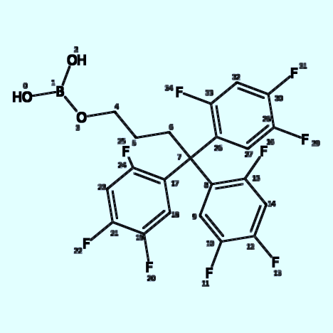 OB(O)OCCCC(c1cc(F)c(F)cc1F)(c1cc(F)c(F)cc1F)c1cc(F)c(F)cc1F